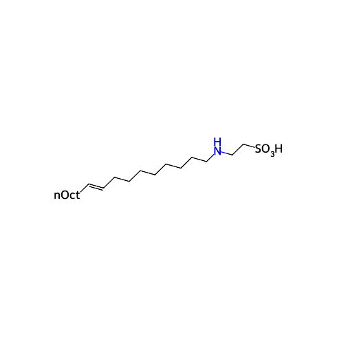 CCCCCCCCC=CCCCCCCCCNCCS(=O)(=O)O